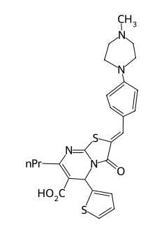 CCCC1=C(C(=O)O)C(c2cccs2)n2c(s/c(=C\c3ccc(N4CCN(C)CC4)cc3)c2=O)=N1